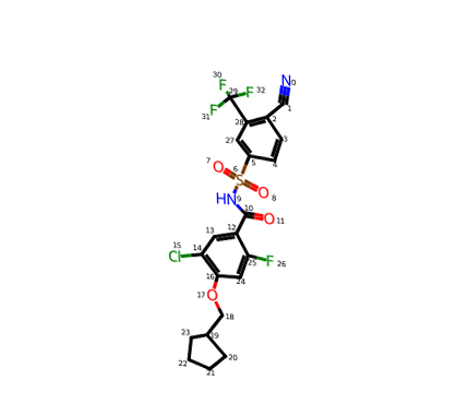 N#Cc1ccc(S(=O)(=O)NC(=O)c2cc(Cl)c(OCC3CCCC3)cc2F)cc1C(F)(F)F